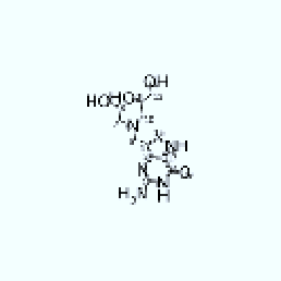 Nc1nc2c(CN(CCO)C[C@@H](O)CO)c[nH]c2c(=O)[nH]1